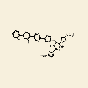 CC(C)(C)c1ccc(C(=O)N[C@@H](Cc2ccc(-c3ncc(-c4ccc(-c5ccccc5Cl)cc4F)cn3)cc2)C(O)N2CC(C(=O)O)C2)s1